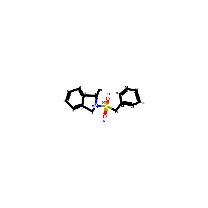 CC1c2ccccc2CN1S(=O)(=O)Cc1ccccc1